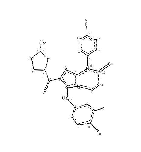 Cc1cc(Nc2c(C(=O)N3CC[C@H](O)C3)sc3c2ccc(=O)n3-c2ccc(F)cc2)ccc1F